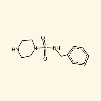 O=S(=O)(NCc1ccccc1)N1CCNCC1